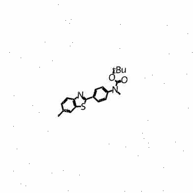 Cc1ccc2nc(-c3ccc(N(C)C(=O)OC(C)(C)C)cc3)sc2c1